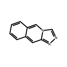 c1ccc2cn3cnnc3cc2c1